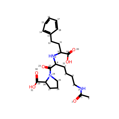 CC(=O)NCCCCC(NC(CCc1ccccc1)C(=O)O)C(=O)N1CCCC1C(=O)O